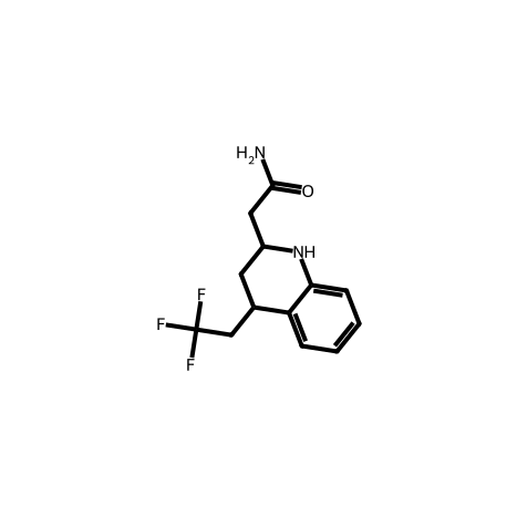 NC(=O)CC1CC(CC(F)(F)F)c2ccccc2N1